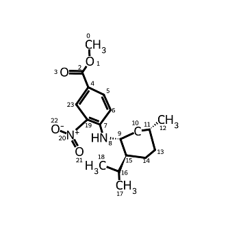 COC(=O)c1ccc(N[C@@H]2C[C@H](C)CC[C@H]2C(C)C)c([N+](=O)[O-])c1